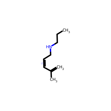 C=C(C)/C=C\CNCCC